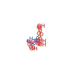 O=C(Nc1cc(S(=O)(=O)O)cc2cc(SOOO)c(/N=N/c3ccc4cc(S(=O)(=O)CCOSOOO)ccc4c3S(=O)(=O)O)c(O)c12)c1ccccc1